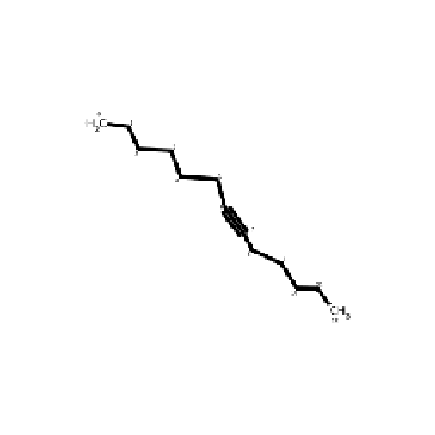 [CH2]CCCCCC#CCCCCC